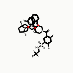 Cc1nc2ccccc2n1C1C[C@H]2CC[C@@H](C1)N2CCC1(c2cccc(F)c2)CCN(C(=O)c2cc(S(=O)(=O)NCC(F)(F)F)c(Cl)cc2F)CC1